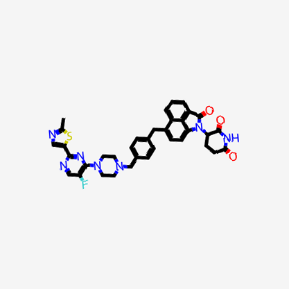 Cc1ncc(-c2ncc(F)c(N3CCN(Cc4ccc(Cc5ccc6c7c(cccc57)C(=O)N6C5CCC(=O)NC5=O)cc4)CC3)n2)s1